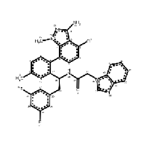 Cc1ccc(-c2ccc(Cl)c3c(N)nn(C)c23)c([C@H](Cc2cc(F)cc(F)c2)NC(=O)Cn2cnc3ccccc32)n1